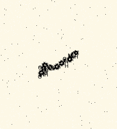 C[C@H]1CCCN1Cc1nc2cc(NC(=O)c3ccc(N4CCC(CN5CCN(c6cccc7c6C(=O)N(C6CCC(=O)NC6=O)C7=O)CC5)CC4)cc3)ccc2[nH]1